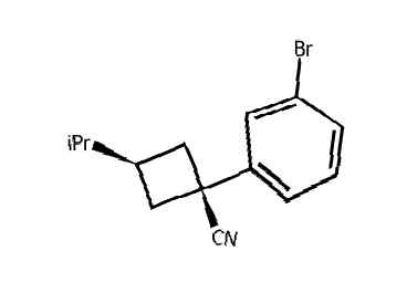 CC(C)[C@H]1C[C@](C#N)(c2cccc(Br)c2)C1